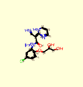 N=C/C(C(=O)Nc1cc(Cl)ccc1OCC(O)CO)=C1/N=CC=CN1